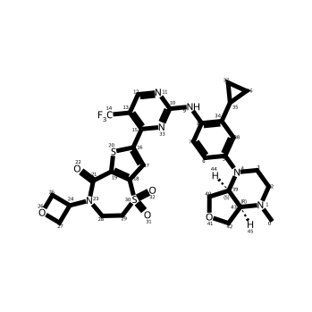 CN1CCN(c2ccc(Nc3ncc(C(F)(F)F)c(-c4cc5c(s4)C(=O)N(C4COC4)CCS5(=O)=O)n3)c(C3CC3)c2)[C@@H]2COC[C@@H]21